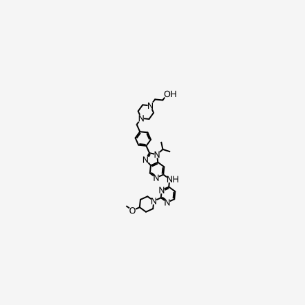 COC1CCN(c2nccc(Nc3cc4c(cn3)nc(-c3ccc(CN5CCN(CCO)CC5)cc3)n4C(C)C)n2)CC1